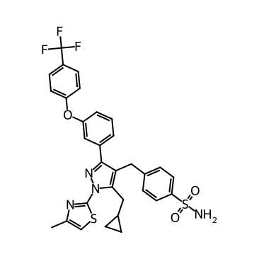 Cc1csc(-n2nc(-c3cccc(Oc4ccc(C(F)(F)F)cc4)c3)c(Cc3ccc(S(N)(=O)=O)cc3)c2CC2CC2)n1